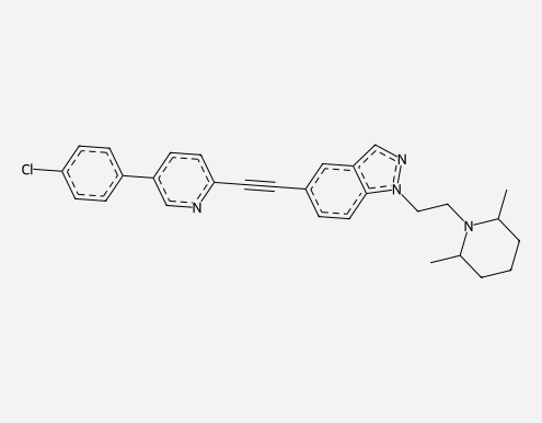 CC1CCCC(C)N1CCn1ncc2cc(C#Cc3ccc(-c4ccc(Cl)cc4)cn3)ccc21